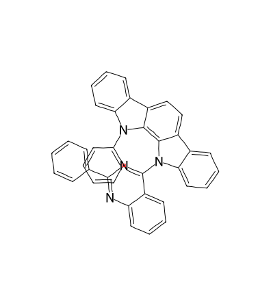 c1ccc(-c2nc(-n3c4ccccc4c4ccc5c6ccccc6n(-c6ccccc6)c5c43)c3ccccc3n2)cc1